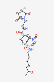 CC(=O)CCCCCNS(=O)(=O)c1ccc(C(=O)NCCN2C(=O)CC(C)C2=O)cc1[N+](=O)[O-]